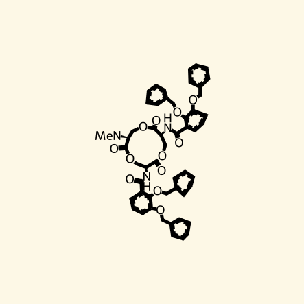 CN[C@H]1COC(=O)[C@@H](NC(=O)c2cccc(OCc3ccccc3)c2OCc2ccccc2)COC(=O)[C@@H](NC(=O)c2cccc(OCc3ccccc3)c2OCc2ccccc2)COC1=O